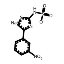 O=[N+]([O-])c1cccc(-c2csc(NS(=O)(=O)[O-])n2)c1.[Na+]